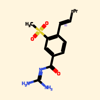 CCC/C=C/c1ccc(C(=O)N=C(N)N)cc1S(C)(=O)=O